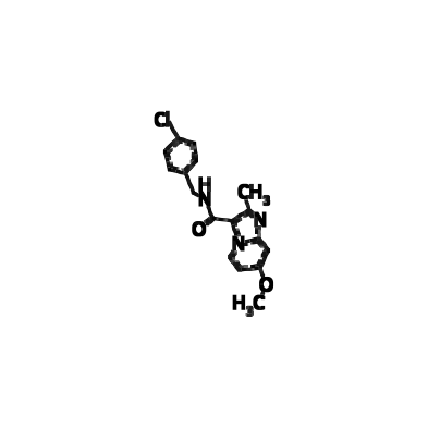 COc1ccn2c(C(=O)NCc3ccc(Cl)cc3)c(C)nc2c1